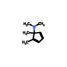 CC1=CC=CC1(C)N(C)C